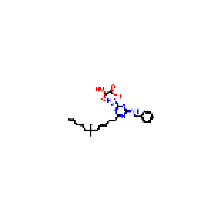 CCCCCC(C)(C)CCCCCc1nc(N)nc(NCc2ccccc2)n1.O=C(O)C(=O)O